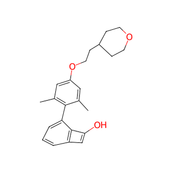 Cc1cc(OCCC2CCOCC2)cc(C)c1-c1cccc2c1C(O)=C2